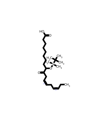 CC/C=C\C/C=C\CC(=O)C(CCCCCCCC(=O)O)O[Si](C)(C)C(C)(C)C